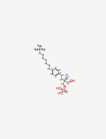 [2H]C([2H])([2H])CCCCCCCc1ccc(CCC(N)(CO)COP(=O)(O)O)cc1